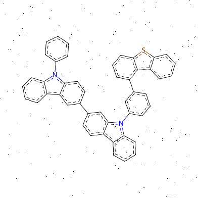 c1ccc(-n2c3ccccc3c3cc(-c4ccc5c6ccccc6n(-c6cccc(-c7cccc8sc9ccccc9c78)c6)c5c4)ccc32)cc1